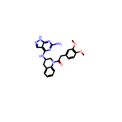 COc1ccc(CC(=O)N2CC(Nc3nc(N)nc4[nH]ncc34)Cc3ccccc32)cc1OC